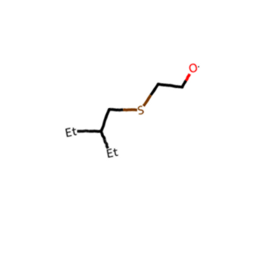 CCC(CC)CSCC[O]